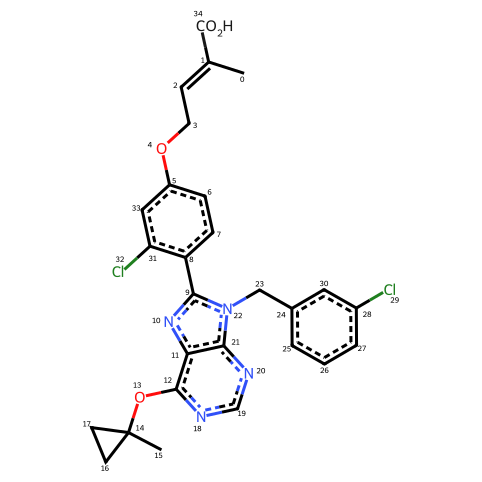 C/C(=C\COc1ccc(-c2nc3c(OC4(C)CC4)ncnc3n2Cc2cccc(Cl)c2)c(Cl)c1)C(=O)O